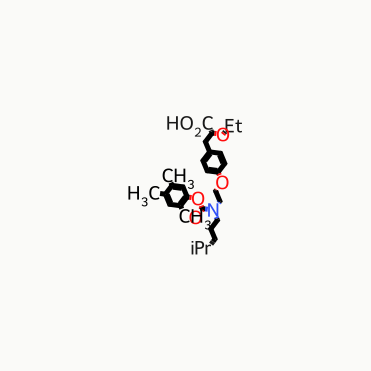 CCOC(Cc1ccc(OCCN(CCCC(C)C)C(=O)Oc2cc(C)c(C)cc2C)cc1)C(=O)O